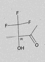 CC(=O)[C@@](C)(O)C(F)(F)F